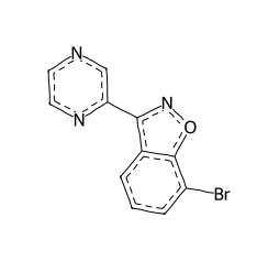 Brc1cccc2c(-c3cnccn3)noc12